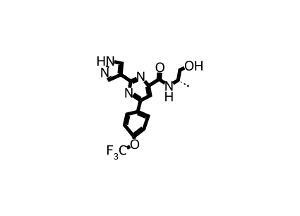 C[C@@H](CO)NC(=O)c1cc(-c2ccc(OC(F)(F)F)cc2)nc(-c2cn[nH]c2)n1